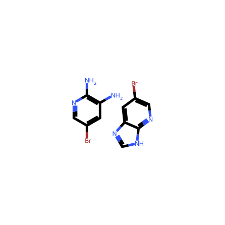 Brc1cnc2[nH]cnc2c1.Nc1cc(Br)cnc1N